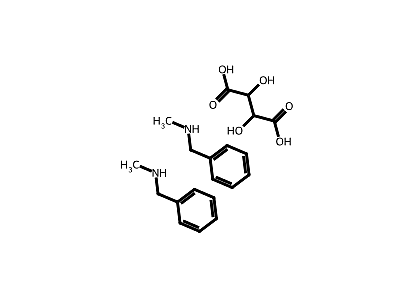 CNCc1ccccc1.CNCc1ccccc1.O=C(O)C(O)C(O)C(=O)O